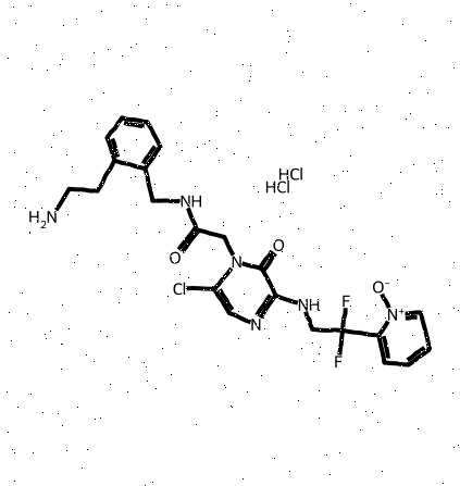 Cl.Cl.NCCc1ccccc1CNC(=O)Cn1c(Cl)cnc(NCC(F)(F)c2cccc[n+]2[O-])c1=O